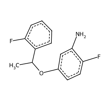 CC(Oc1ccc(F)c(N)c1)c1ccccc1F